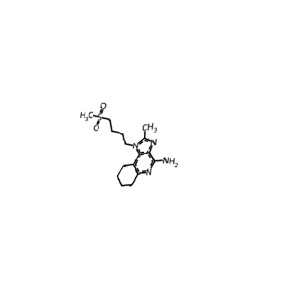 Cc1nc2c(N)nc3c(c2n1CCCCS(C)(=O)=O)CCCC3